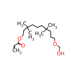 C=CC(=O)OCCC(C)(C)CCCC(C)(C)CCCOCO